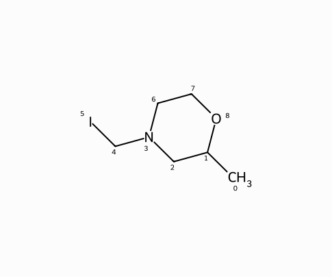 CC1CN(CI)CCO1